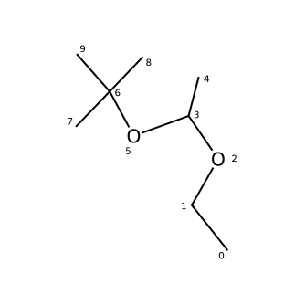 CCOC(C)OC(C)(C)C